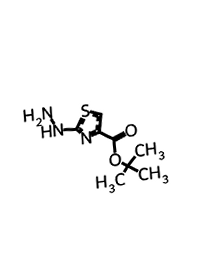 CC(C)(C)OC(=O)c1csc(NN)n1